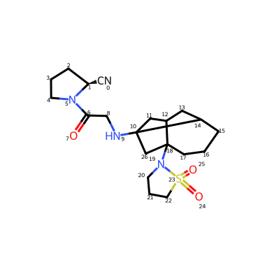 N#C[C@@H]1CCCN1C(=O)CNC12CC3CC1CCCC3(N1CCCS1(=O)=O)C2